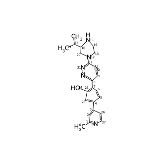 Cc1cc(-c2ccc(-c3cnc(N4CCNC(C(C)C)C4)nn3)c(O)c2)ccn1